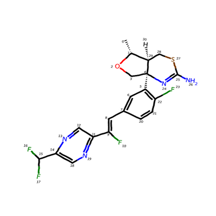 C[C@H]1OC[C@]2(c3cc(/C=C(\F)c4cnc(C(F)F)cn4)ccc3F)N=C(N)SC[C@H]12